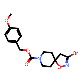 COc1ccc(COC(=O)N2CCC3(CC2)CC(Br)=NO3)cc1